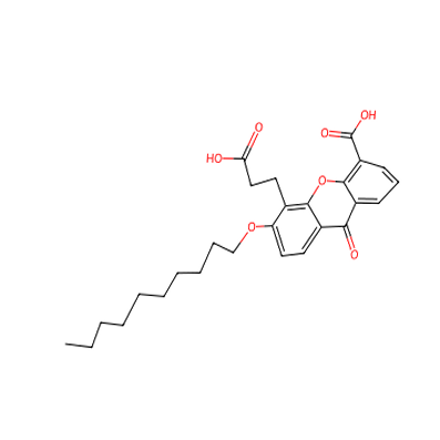 CCCCCCCCCCOc1ccc2c(=O)c3cccc(C(=O)O)c3oc2c1CCC(=O)O